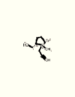 C#CC[N+]1(C)CCC[C@H]1CO.[Br-]